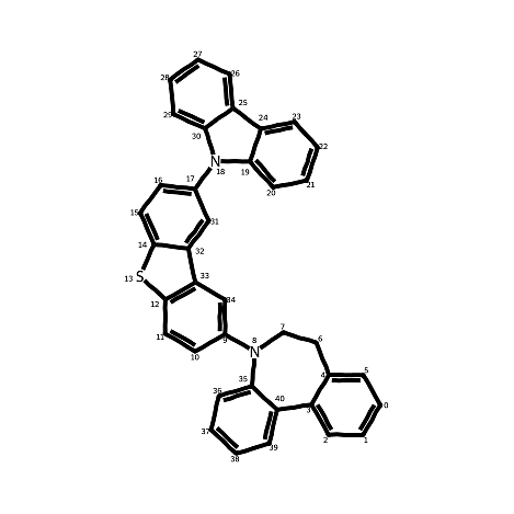 c1ccc2c(c1)CCN(c1ccc3sc4ccc(-n5c6ccccc6c6ccccc65)cc4c3c1)c1ccccc1-2